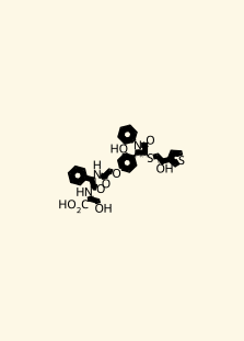 O=C(COc1ccc([C@@H]2[C@@H](SC[C@H](O)c3ccsc3)C(=O)N2c2ccccc2)c(O)c1)N[C@@H](C(=O)N[C@H](CO)C(=O)O)c1ccccc1